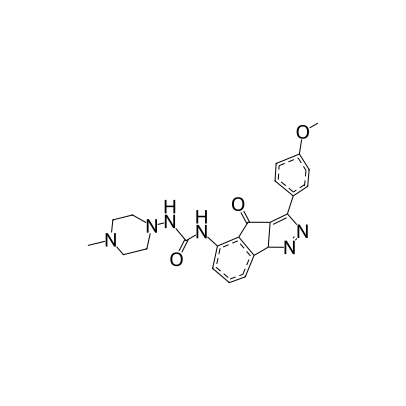 COc1ccc(C2=C3C(=O)c4c(NC(=O)NN5CCN(C)CC5)cccc4C3N=N2)cc1